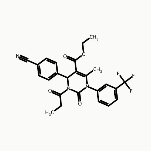 CCOC(=O)C1=C(C)N(c2cccc(C(F)(F)F)c2)C(=O)N(C(=O)CC)C1c1ccc(C#N)cc1